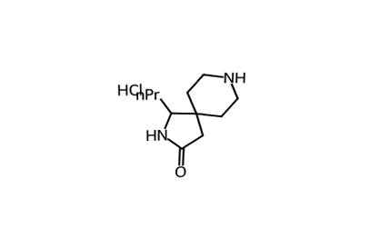 CCCC1NC(=O)CC12CCNCC2.Cl